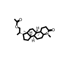 CC(=O)OCC(C)[C@H]1CC[C@H]2[C@@H]3CCC4N(C)C(=O)CC[C@]4(C)[C@H]3CC[C@]12C